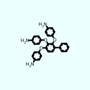 Nc1ccc(Oc2ccc(-c3ccccc3)c(Oc3ccc(N)cc3)c2Oc2ccc(N)cc2)cc1